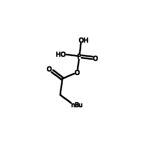 CCCCCC(=O)OP(=O)(O)O